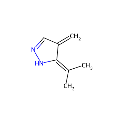 C=c1cn[nH]c1=C(C)C